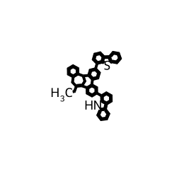 CCC1=C2CC(c3ccccc3C1)c1cc(-c3cccc4c3sc3ccccc34)ccc1-c1cc(-c3cccc4c3[nH]c3ccccc34)ccc12